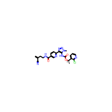 C=C(C#N)CCNC(=O)c1ccc(-c2nnn(C)c2NC(=O)O[C@H](C)c2cccnc2Cl)nc1